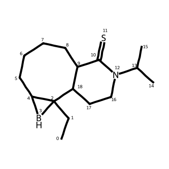 CCC12BC1CCCCC1C(=S)N(C(C)C)CCC12